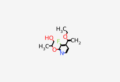 C=C(OCC)c1ccnc(OC(C)CO)c1F